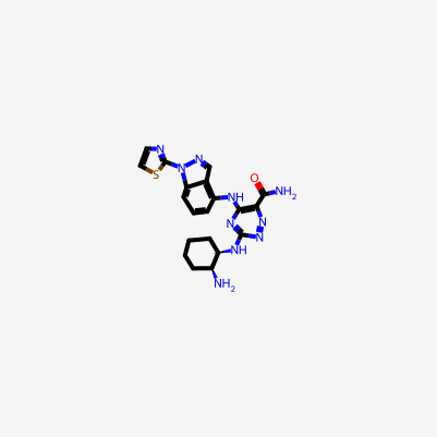 NC(=O)c1nnc(N[C@@H]2CCCC[C@@H]2N)nc1Nc1cccc2c1cnn2-c1nccs1